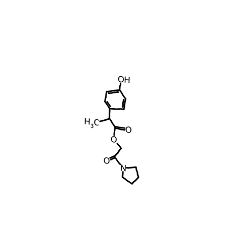 CC(C(=O)OCC(=O)N1CCCC1)c1ccc(O)cc1